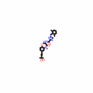 Cc1cccc(C)c1Cn1cnc(C(=O)N[C@H]2COc3ccc(C#CC(C)(C)O)cc3N(C)C2=O)n1